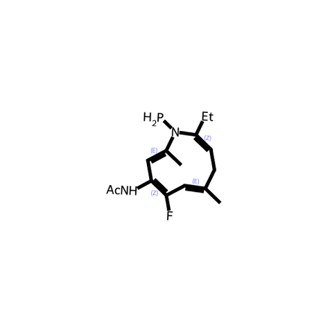 CC/C1=C/C/C(C)=C/C(F)=C(NC(C)=O)\C=C(/C)N1P